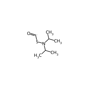 CC(C)N(S[C]=O)C(C)C